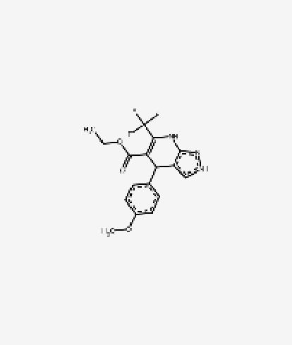 CCOC(=O)C1=C(C(F)(F)F)Nc2n[nH]cc2C1c1ccc(OC)cc1